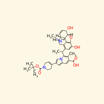 Cc1c(C(=O)O)cc2cc(C3=CCN(C(=O)OC(C)(C)C)CC3)cn2c1C(C)c1cc(O)c2c3c1C[C@@H]1[C@@H]4C=C[C@H](O)[C@H](O2)[C@]34CCN1C